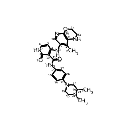 Cc1c(Nc2cc[nH]c(=O)c2C(=O)Nc2ccc(N3CCN(C)[C@H](C)C3)cc2)cnc2c1NCCO2